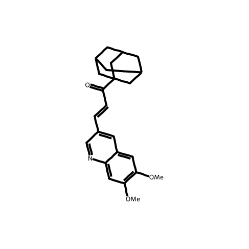 COc1cc2cc(C=CC(=O)C34CC5CC(CC(C5)C3)C4)cnc2cc1OC